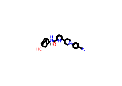 N#Cc1ccc(N2CCC(c3cccc(C(=O)N[C@H]4C5CC6CC4C[C@](O)(C6)C5)n3)CC2)cc1